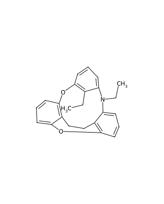 CCc1c2cccc1N(CC)c1cccc3c1CCc1c(cccc1O3)O2